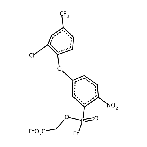 CCOC(=O)COP(=O)(CC)c1cc(Oc2ccc(C(F)(F)F)cc2Cl)ccc1[N+](=O)[O-]